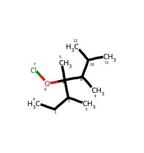 CCC(C)C(C)(OCl)C(C)C(C)C